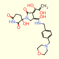 C=C(O)/C(O)=C1/C(=O)N(C2(O)CCC(=O)NC2=O)C/C1=C(/O)NCc1ccc(CN2CCOCC2)cc1